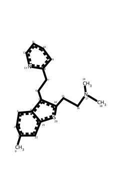 Cc1ccc2c(CCc3ccccn3)c(CCN(C)C)sc2c1